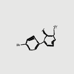 Sc1cccc(-c2ccc(Br)cc2)c1I